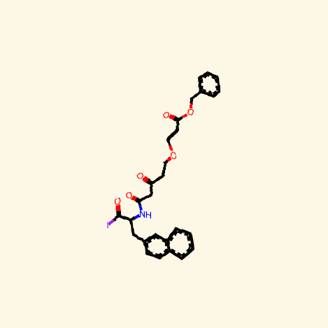 O=C(CCOCCC(=O)OCc1ccccc1)CC(=O)NC(Cc1ccc2ccccc2c1)C(=O)I